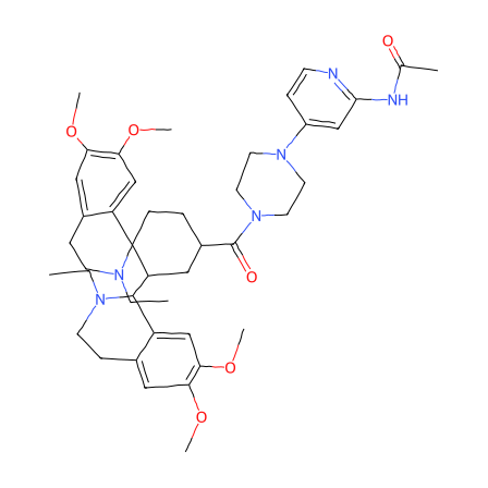 CCN1CCc2cc(OC)c(OC)cc2C1C1CC(C(=O)N2CCN(c3ccnc(NC(C)=O)c3)CC2)CCC12c1cc(OC)c(OC)cc1CCN2CC